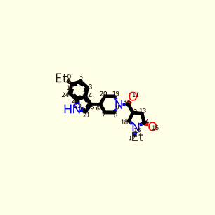 CCc1ccc2c(C3CCN(C(=O)C4CC(=O)N(CC)C4)CC3)c[nH]c2c1